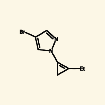 CCC1=C(n2cc(Br)cn2)C1